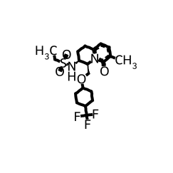 CCS(=O)(=O)N[C@H]1CCc2ccc(C)c(=O)n2[C@H]1COC1CCC(C(F)(F)F)CC1